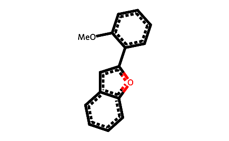 COc1ccccc1-c1cc2ccccc2o1